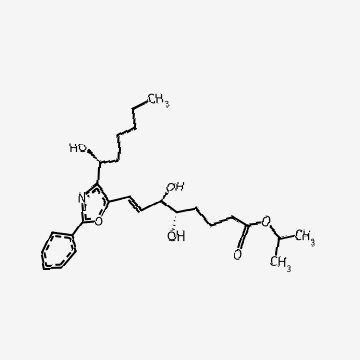 CCCCC[C@H](O)c1nc(-c2ccccc2)oc1/C=C/[C@@H](O)[C@@H](O)CCCC(=O)OC(C)C